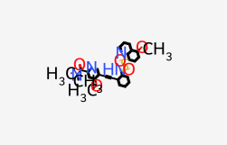 COc1cc(C(=O)N(C)C)ncc1C#Cc1ccccc1NS(=O)(=O)c1ccc(OC)c2cccnc12